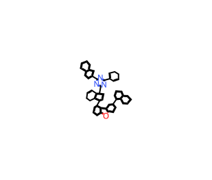 C1=CC(c2nc(-c3ccc4ccccc4c3)nc(-c3ccc(-c4cccc5oc6ccc(-c7cccc8ccccc78)cc6c45)c4c3C=CCC4)n2)=CCC1